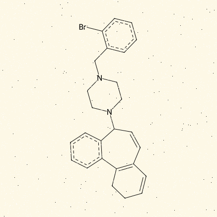 Brc1ccccc1CN1CCN(C2C=CC3=C(CCC=C3)c3ccccc32)CC1